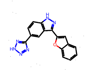 c1ccc2oc(-c3n[nH]c4ccc(-c5nn[nH]n5)cc34)cc2c1